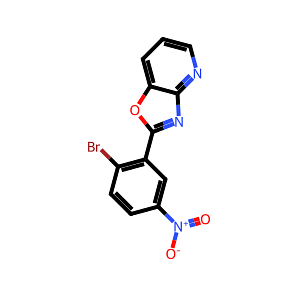 O=[N+]([O-])c1ccc(Br)c(-c2nc3ncccc3o2)c1